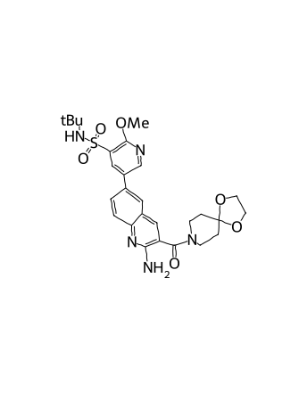 COc1ncc(-c2ccc3nc(N)c(C(=O)N4CCC5(CC4)OCCO5)cc3c2)cc1S(=O)(=O)NC(C)(C)C